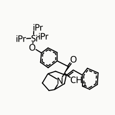 CC(C(=O)c1ccc(O[Si](C(C)C)(C(C)C)C(C)C)cc1)N1C2CCC1CC(=Cc1ccccc1)C2